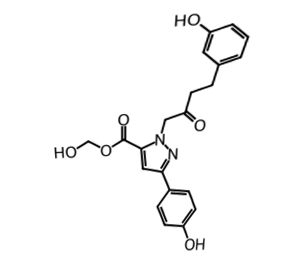 O=C(CCc1cccc(O)c1)Cn1nc(-c2ccc(O)cc2)cc1C(=O)OCO